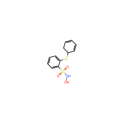 O=S(=O)(NO)c1ccccc1SC1C=CC=CC1